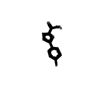 NC(=O)c1nnc(-c2ccc(F)cc2)s1